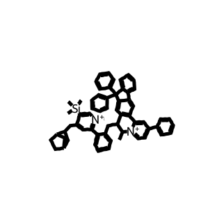 CC1C(Cc2ccccc2-c2cc(CC3CC4CCC3C4)c([Si](C)(C)C)c[n+]2C)c2cc3c(cc2-c2cc(-c4ccccc4)cc[n+]21)-c1ccccc1C3(c1ccccc1)c1ccccc1